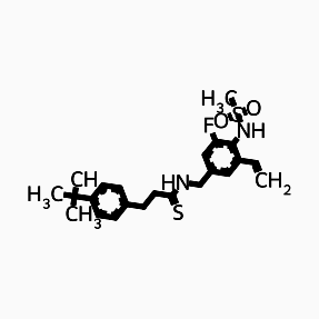 C=Cc1cc(CNC(=S)CCc2ccc(C(C)(C)C)cc2)cc(F)c1NS(C)(=O)=O